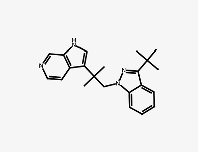 CC(C)(C)c1nn(CC(C)(C)c2c[nH]c3cnccc23)c2ccccc12